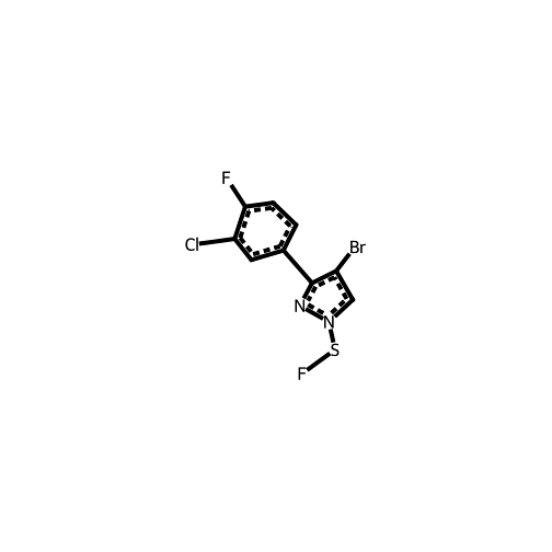 FSn1cc(Br)c(-c2ccc(F)c(Cl)c2)n1